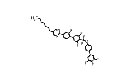 CCCCCCCc1cnc(-c2ccc(-c3cc(F)c(C(F)(F)Oc4ccc(-c5cc(F)c(F)c(F)c5)cc4)c(F)c3)c(F)c2)nc1